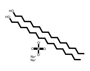 CCCCCCCCCCCCCCCCO.CCCCCCCCCCCCCCCCO.O=S(=O)([O-])[O-].[Na+].[Na+]